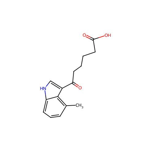 Cc1cccc2[nH]cc(C(=O)CCCCC(=O)O)c12